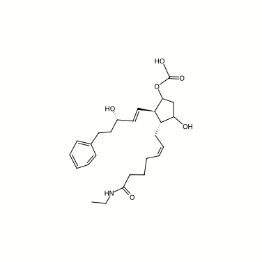 CCNC(=O)CCC/C=C\C[C@H]1C(O)CC(OC(=O)O)[C@@H]1/C=C/[C@@H](O)CCc1ccccc1